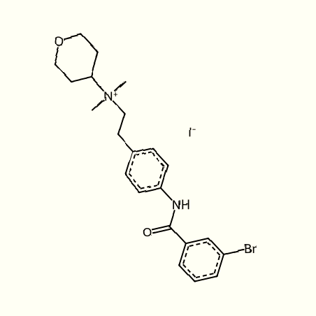 C[N+](C)(CCc1ccc(NC(=O)c2cccc(Br)c2)cc1)C1CCOCC1.[I-]